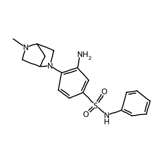 CN1CC2CC1CN2c1ccc(S(=O)(=O)Nc2ccccc2)cc1N